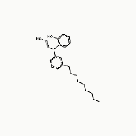 CCCCCCCCCc1cccc(C(C=NO)c2ccccc2O)c1